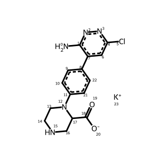 Nc1nnc(Cl)cc1-c1ccc(N2CCNCC2C(=O)[O-])cc1.[K+]